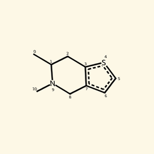 CC1Cc2sccc2CN1C